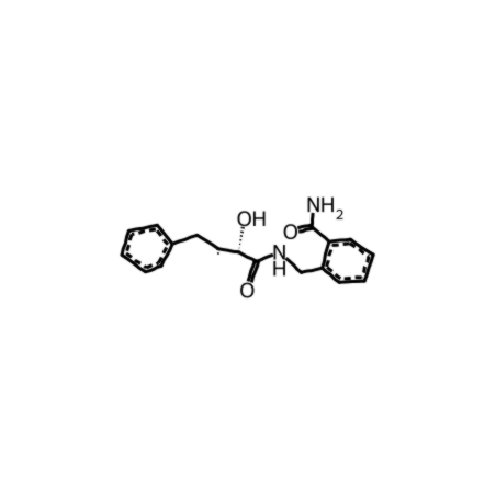 NC(=O)c1ccccc1CNC(=O)[C@@H](O)[CH]Cc1ccccc1